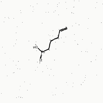 C=CCCC[C@H](O)CC